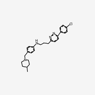 CC1CCN(Cc2ccc(NCCCc3ccc(-c4ccc(Cl)cc4)nn3)cc2)CC1